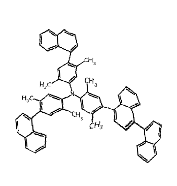 Cc1cc(N(c2cc(C)c(-c3cccc4ccccc34)cc2C)c2cc(C)c(-c3ccc(-c4cccc5ccccc45)c4ccccc34)cc2C)c(C)cc1-c1cccc2ccccc12